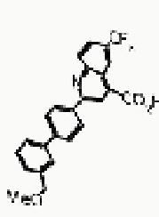 COCc1cccc(-c2ccc(-c3cc(C(=O)O)c4cc(C(F)(F)F)ccc4n3)cc2)c1